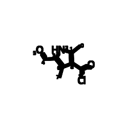 Cc1[nH]c(C=O)c(C)c1C(=O)Cl